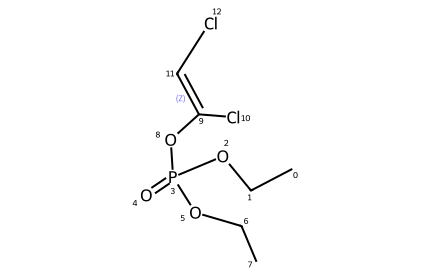 CCOP(=O)(OCC)O/C(Cl)=C/Cl